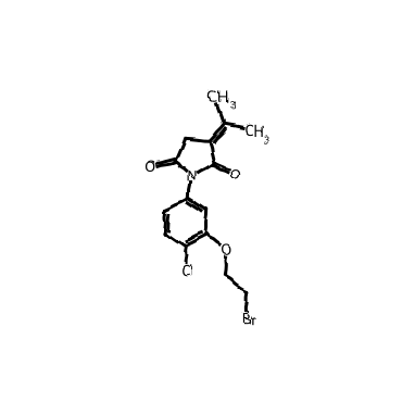 CC(C)=C1CC(=O)N(c2ccc(Cl)c(OCCBr)c2)C1=O